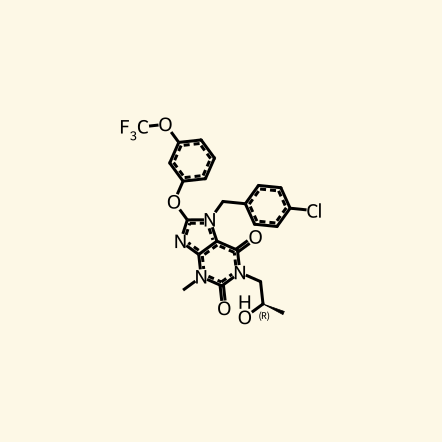 C[C@@H](O)Cn1c(=O)c2c(nc(Oc3cccc(OC(F)(F)F)c3)n2Cc2ccc(Cl)cc2)n(C)c1=O